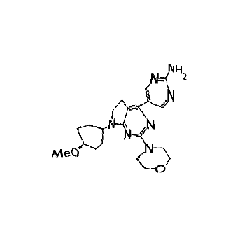 CO[C@H]1CC[C@H](N2CCc3c(-c4cnc(N)nc4)nc(N4CCOCC4)nc32)CC1